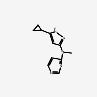 CN(c1ccncn1)c1cc(C2CC2)[nH]n1